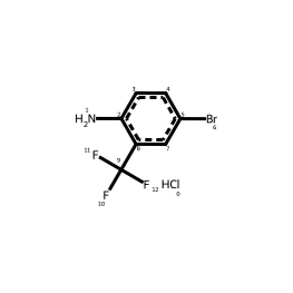 Cl.Nc1ccc(Br)cc1C(F)(F)F